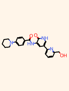 O=C(Nc1cc(-c2cccc(CO)n2)c[nH]c1=O)c1ccc(N2CCCCC2)cc1